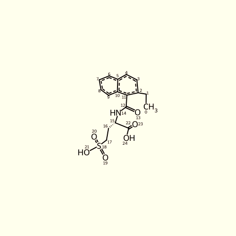 CCc1ccc2ccccc2c1C(=O)N[C@@H](CCS(=O)(=O)O)C(=O)O